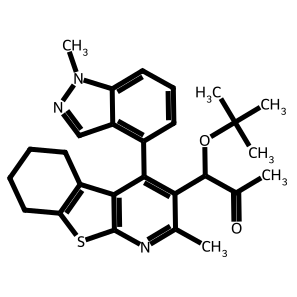 CC(=O)C(OC(C)(C)C)c1c(C)nc2sc3c(c2c1-c1cccc2c1cnn2C)CCCC3